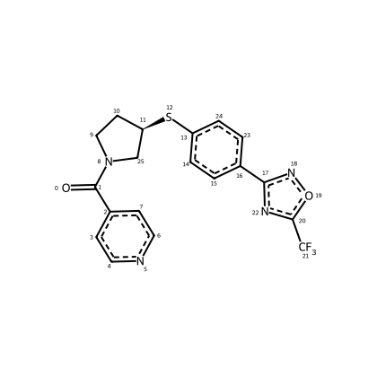 O=C(c1ccncc1)N1CC[C@@H](Sc2ccc(-c3noc(C(F)(F)F)n3)cc2)C1